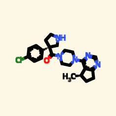 C[C@@H]1CCc2ncnc(N3CCN(C(=O)[C@@]4(c5ccc(Cl)cc5)CCNC4)CC3)c21